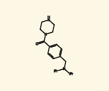 CC(C)N(Cc1ccc(C(=O)N2CCNCC2)cc1)C(C)C